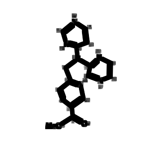 COC(=O)c1ccc(CN(c2ccncn2)c2cnccn2)nc1